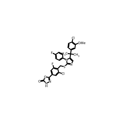 COc1cc(C(C)(C)c2cnc(SCc3c(F)cc(-c4n[nH]c(=O)o4)cc3Cl)n2-c2ccc(F)cc2)ccc1Cl